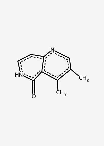 Cc1cnc2cc[nH]c(=O)c2c1C